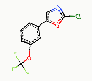 FC(F)(F)Oc1cccc(-c2cnc(Cl)o2)c1